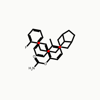 Cc1c(C2C3CCC2CN(Cc2ccccc2)C3)ccc(OC(N)=O)c1Cc1ccccc1F